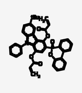 C=CC(=O)Oc1c(P2(=O)Oc3ccccc3-c3ccccc32)cc(OC(=O)C=C)c2c1c1cc(C(C)(C)C)ccc1n2-c1ccccc1